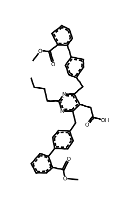 CCCCc1nc(Cc2ccc(-c3ccccc3C(=O)OC)cc2)c(CC(=O)O)c(Cc2ccc(-c3ccccc3C(=O)OC)cc2)n1